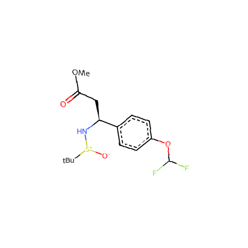 COC(=O)C[C@H](N[S+]([O-])C(C)(C)C)c1ccc(OC(F)F)cc1